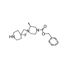 C[C@H]1CN(C(=O)OCc2ccccc2)CCN1CC1(F)CCNCC1